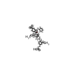 COCOC(C(=O)N1CCC(Oc2ccc(CCC(=O)O)cc2OC)CC1)(c1cn(Cc2ccccc2)c2cc([N+](=O)[O-])ccc12)C(F)(F)F